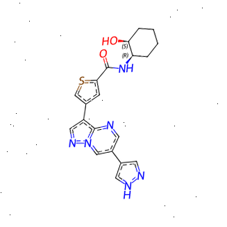 O=C(N[C@@H]1CCCC[C@@H]1O)c1cc(-c2cnn3cc(-c4cn[nH]c4)cnc23)cs1